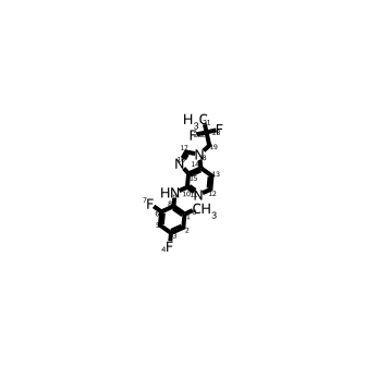 Cc1cc(F)cc(F)c1Nc1nccc2c1ncn2CC(C)(F)F